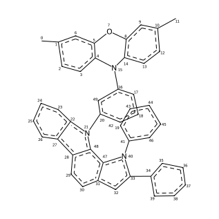 Cc1ccc2c(c1)Oc1cc(C)ccc1N2c1cccc(-n2c3ccccc3c3ccc4cc(-c5ccccc5)n(-c5ccccc5)c4c32)c1